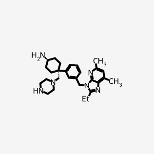 CCc1nc2c(C)cc(C)nc2n1Cc1cccc([C@]2(CN3CCNCC3)CC[C@H](N)CC2)c1